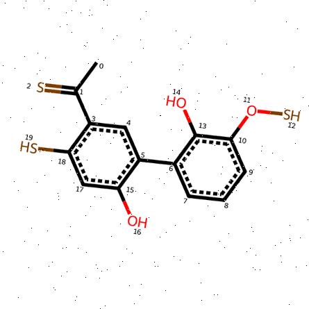 CC(=S)c1cc(-c2cccc(OS)c2O)c(O)cc1S